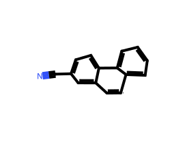 N#Cc1ccc2c(c[c]c3ccccc32)c1